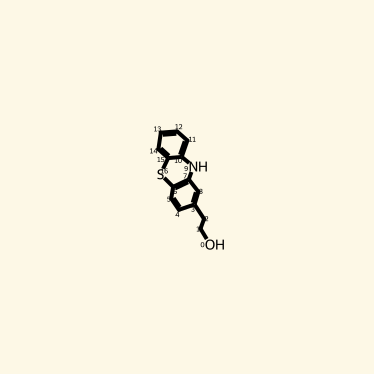 OCCc1ccc2c(c1)Nc1ccccc1S2